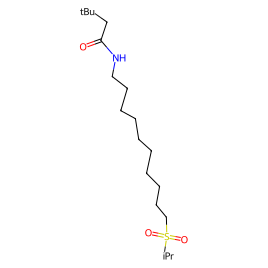 CC(C)S(=O)(=O)CCCCCCCCCCNC(=O)CC(C)(C)C